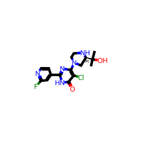 CC(C)(O)[C@H]1CN(c2nc(-c3ccnc(F)c3)[nH]c(=O)c2Cl)CCN1